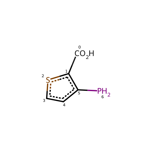 O=C(O)c1sccc1P